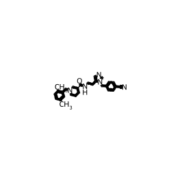 Cc1ccc(C)c(CN2CCC[C@H](C(=O)NCCc3cncn3Cc3ccc(C#N)cc3)C2)c1